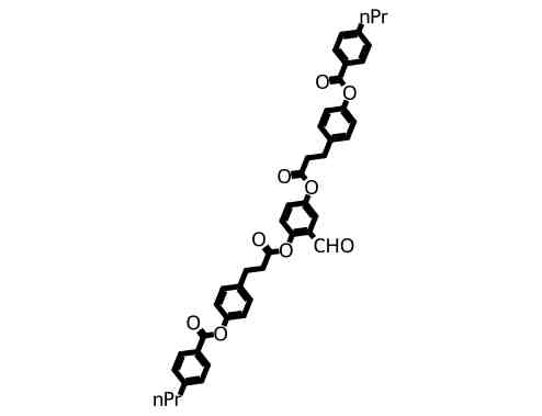 CCCc1ccc(C(=O)Oc2ccc(CCC(=O)Oc3ccc(OC(=O)CCc4ccc(OC(=O)c5ccc(CCC)cc5)cc4)c(C=O)c3)cc2)cc1